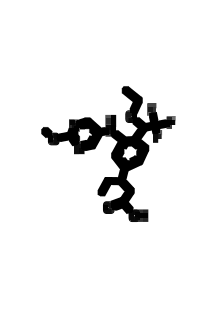 CCOC(c1ccc(C(CC)CC(=O)O)cc1Nc1cnc(OC)nc1)C(F)(F)F